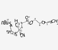 C=COCCOC(=O)CCC(C)(C#N)SC(=S)SCCCC